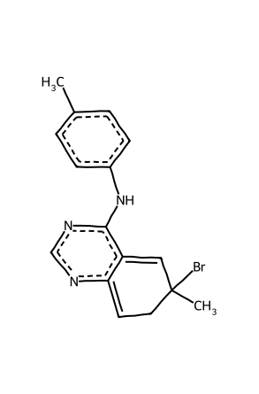 Cc1ccc(Nc2ncnc3c2=CC(C)(Br)CC=3)cc1